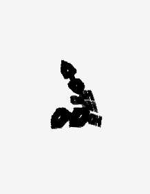 O=C(Nc1ccc(-c2ccccc2)cc1)Nc1cc(-c2ccccc2)ccc1O